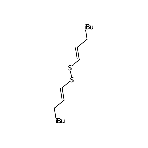 CCC(C)CC=CSSC=CCC(C)CC